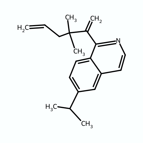 C=CCC(C)(C)C(=C)c1nccc2cc(C(C)C)ccc12